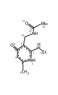 CCNc1[nH]c(C)cc(=O)c1CNC(=O)C(C)(C)C